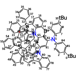 CC(C)(C)c1ccc(N2c3ccc(C(C)(C)C)cc3B3c4cccc([Si](c5ccccc5)(c5ccccc5)c5ccccc5)c4N(c4cccc([Si](c5ccccc5)(c5ccccc5)c5ccccc5)c4)c4cc(-n5c6ccccc6c6ccccc65)cc2c43)cc1